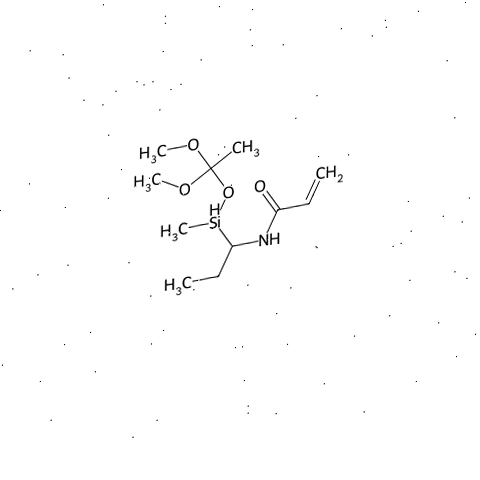 C=CC(=O)NC(CC)[SiH](C)OC(C)(OC)OC